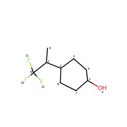 CC(C1CCC(O)CC1)C(F)(F)F